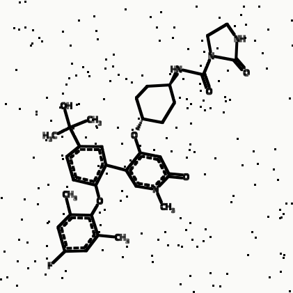 Cc1cc(F)cc(C)c1Oc1ccc(C(C)(C)O)cc1-c1cn(C)c(=O)cc1O[C@H]1CC[C@H](NC(=O)N2CCNC2=O)CC1